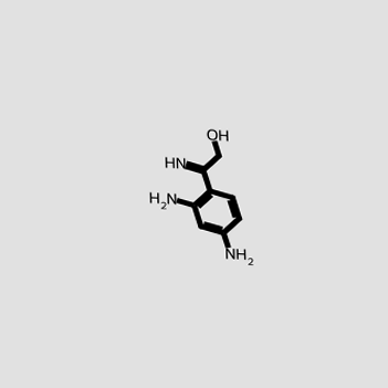 N=C(CO)c1ccc(N)cc1N